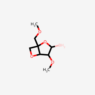 BC1OC2(COC)COC2C1OC